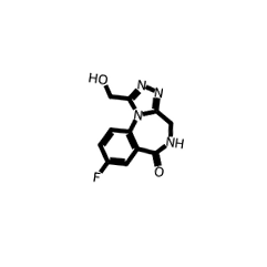 O=C1NCc2nnc(CO)n2-c2ccc(F)cc21